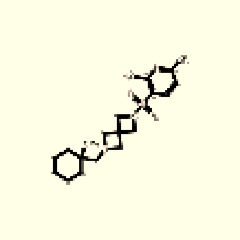 COC1(CN2CC3(C2)CN(S(=O)(=O)c2ccc(C(F)(F)F)nc2C)C3)CCCCC1